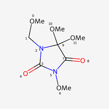 COCN1C(=O)N(OC)C(=O)C1(OC)OC